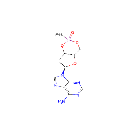 CSP1(=O)OCC2O[C@@H](n3cnc4c(N)ncnc43)CC2O1